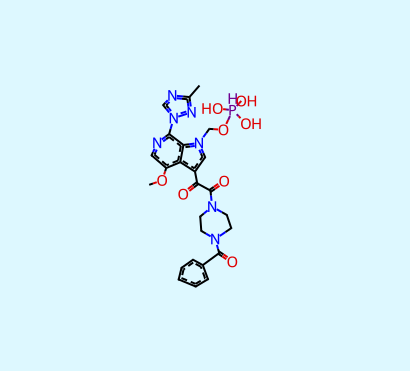 COc1cnc(-n2cnc(C)n2)c2c1c(C(=O)C(=O)N1CCN(C(=O)c3ccccc3)CC1)cn2CO[PH](O)(O)O